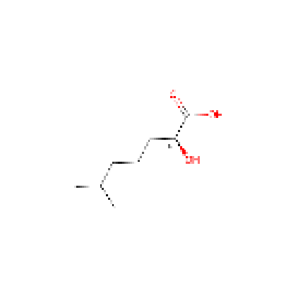 CC(C)CCC[C@H](O)C(=O)O